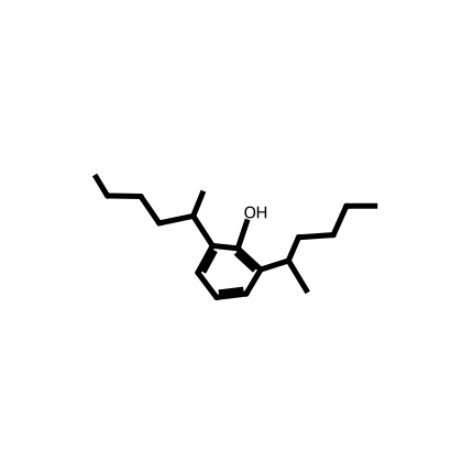 CCCCC(C)c1cccc(C(C)CCCC)c1O